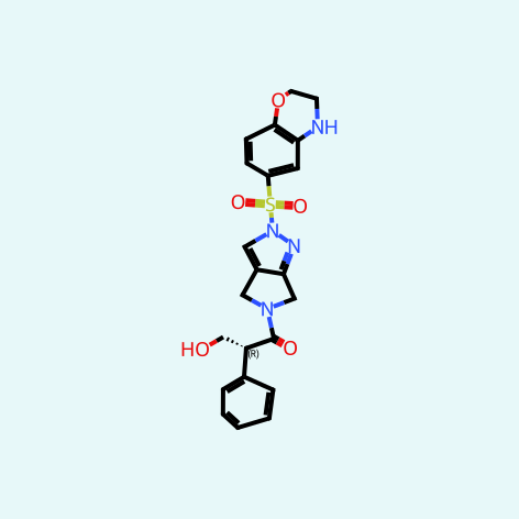 O=C([C@@H](CO)c1ccccc1)N1Cc2cn(S(=O)(=O)c3ccc4c(c3)NCCO4)nc2C1